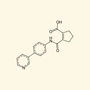 O=C(O)C1=C(C(=O)Nc2ccc(-c3cccnc3)cc2)CCC1